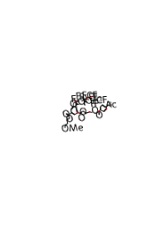 COCCCOC(=O)c1cc(OC(F)(F)C(F)OC(F)(F)C(F)(OC(F)(F)C(F)(F)C(F)(F)F)C(F)(F)F)cc(C(=O)OCCCOC(=O)c2ccc(C(C)=O)cc2)c1